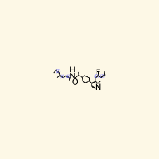 C\C=C/C(C)=C\C=C(/C)NC(=O)C(C)C1CCC(c2ccnc(C)c2/C=C(F)\C=C/C)CC1